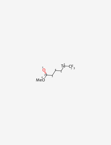 COC(=O)CCC[Te]C(F)(F)F